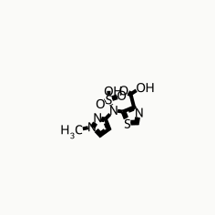 Cn1ccc(N(c2scnc2C(=O)O)S(=O)(=O)O)n1